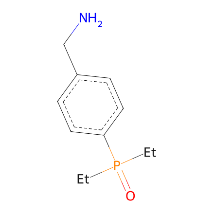 CCP(=O)(CC)c1ccc(CN)cc1